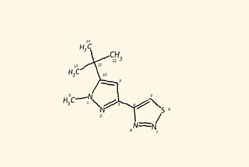 Cn1nc(-c2csnn2)cc1C(C)(C)C